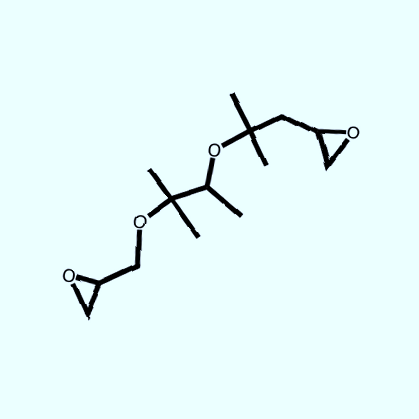 CC(OC(C)(C)CC1CO1)C(C)(C)OCC1CO1